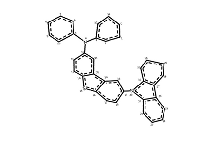 c1ccc(N(c2ccccc2)c2ccc3sc4ccc(-n5c6ccccc6c6ccccc65)cc4c3c2)cc1